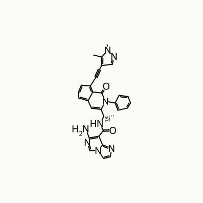 Cc1c(C#Cc2cccc3cc([C@H](C)NC(=O)c4c(N)ncn5ccnc45)n(-c4ccccc4)c(=O)c23)cnn1C